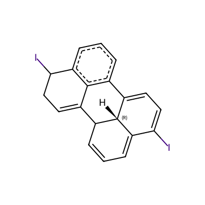 IC1=CC=C2c3cccc4c3C(=CCC4I)C3C=CC=C1[C@@H]23